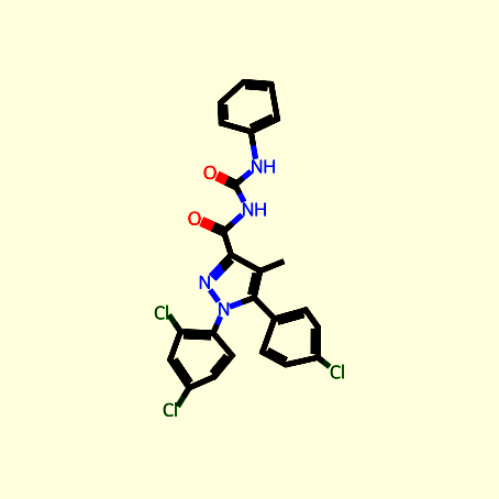 Cc1c(C(=O)NC(=O)Nc2ccccc2)nn(-c2ccc(Cl)cc2Cl)c1-c1ccc(Cl)cc1